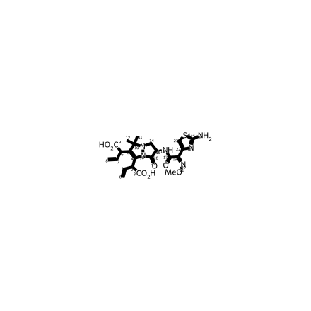 C=CC(C(=O)O)C1=C(C(C=C)C(=O)O)C(C)(C)N2C[C@H](NC(=O)/C(=N\OC)c3csc(N)n3)C(=O)N12